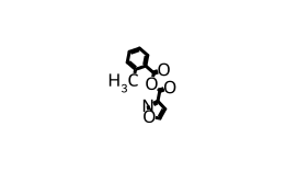 Cc1ccccc1C(=O)OC(=O)c1ccon1